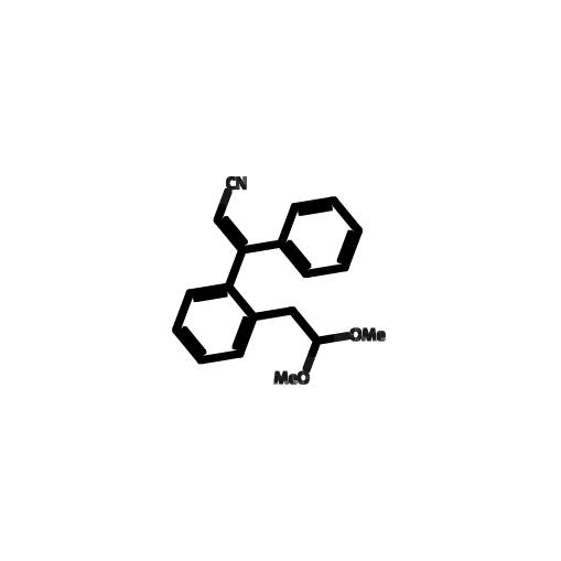 COC(Cc1ccccc1C(=CC#N)c1ccccc1)OC